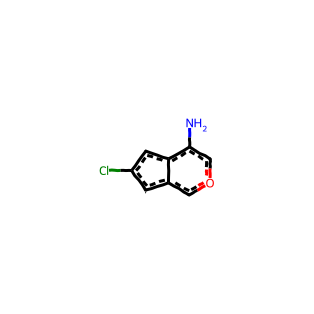 Nc1cocc2[c]c(Cl)cc1-2